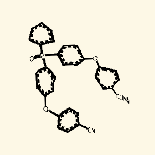 N#Cc1ccc(Oc2ccc(P(=O)(c3ccccc3)c3ccc(Oc4ccc(C#N)cc4)cc3)cc2)cc1